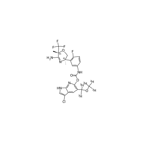 [2H]C([2H])([2H])OC([2H])([2H])c1cc2c(Cl)c[nH]c2nc1OC(=O)Nc1ccc(F)c([C@]2(C)CO[C@@](C)(C(F)(F)F)C(N)=N2)c1